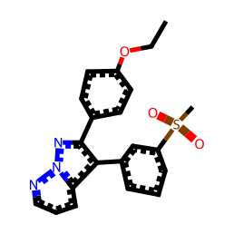 CCOc1ccc(-c2nn3ncccc3c2-c2cccc(S(C)(=O)=O)c2)cc1